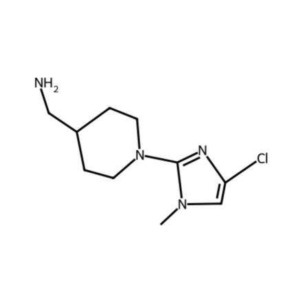 Cn1cc(Cl)nc1N1CCC(CN)CC1